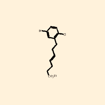 CCOC(=O)CCC=CCCc1cc(Br)ccc1Cl